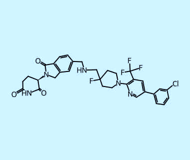 O=C1CC[C@@H](N2Cc3cc(CNCC4(F)CCN(c5ncc(-c6cccc(Cl)c6)cc5C(F)(F)F)CC4)ccc3C2=O)C(=O)N1